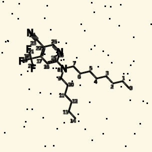 CCCCCCCCN(CCCCCC)c1cc(C(F)(F)F)c(C#N)cn1